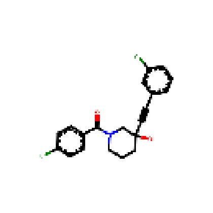 O=C(c1ccc(Cl)cc1)N1CCCC(O)(C#Cc2cccc(Cl)c2)C1